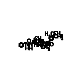 C[C@@H](NC(=O)c1cc(NC(=O)NCc2ccccc2)cn1C)C(=O)NCC(C(=O)O)c1ccc(C(C)(C)C)cc1